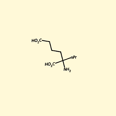 CCCC(N)(CCCC(=O)O)C(=O)O